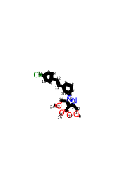 COCc1nn(-c2cccc(C=Cc3ccc(Cl)cc3)c2)c(COC)c1C(=O)OC